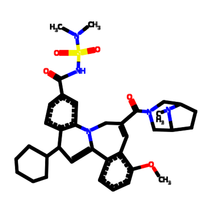 COc1cccc2c1C=C(C(=O)N1CC3CCC(C1)N3C)CN1C2=CC(C2CCCCC2)c2ccc(C(=O)NS(=O)(=O)N(C)C)cc21